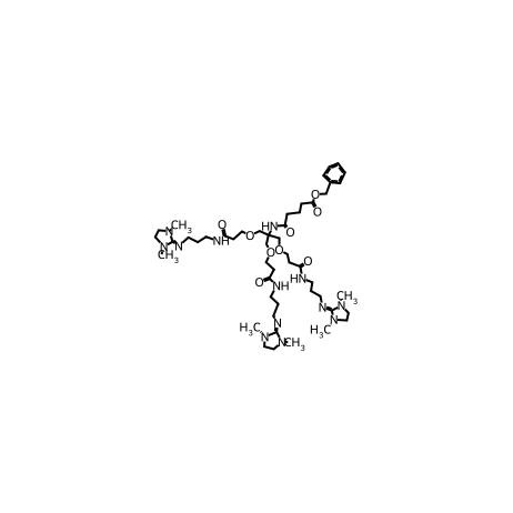 CN1CCN(C)C1=NCCCNC(=O)CCOCC(COCCC(=O)NCCCN=C1N(C)CCN1C)(COCCC(=O)NCCCN=C1N(C)CCN1C)NC(=O)CCCC(=O)OCc1ccccc1